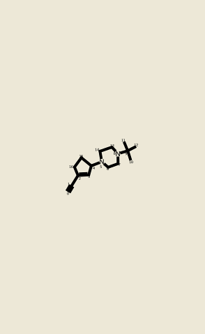 C#CC1=CC(N2CCN(C(C)(C)C)CC2)CC1